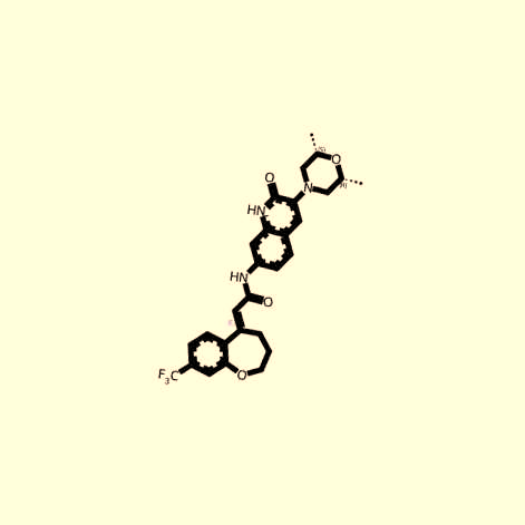 C[C@@H]1CN(c2cc3ccc(NC(=O)/C=C4\CCCOc5cc(C(F)(F)F)ccc54)cc3[nH]c2=O)C[C@H](C)O1